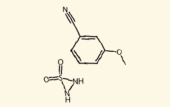 COc1cccc(C#N)c1.O=S1(=O)NN1